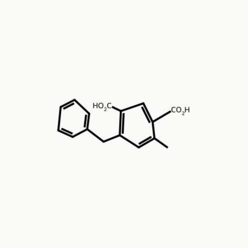 Cc1cc(Cc2ccccc2)c(C(=O)O)cc1C(=O)O